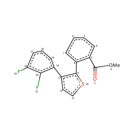 COC(=O)c1ccccc1-c1sccc1-c1cccc(F)c1F